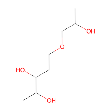 CC(O)COCCC(O)C(C)O